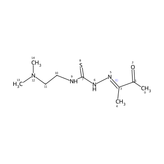 CC(=O)/C(C)=N/NC(=S)NCCN(C)C